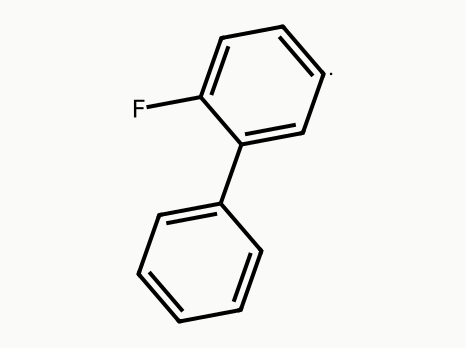 Fc1cc[c]cc1-c1ccccc1